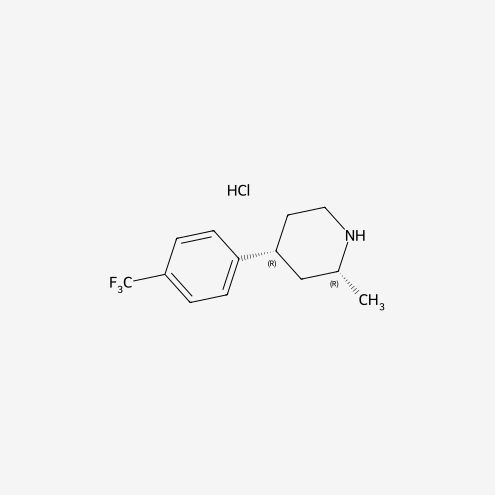 C[C@@H]1C[C@H](c2ccc(C(F)(F)F)cc2)CCN1.Cl